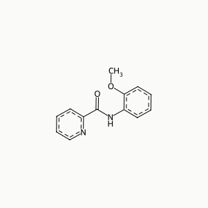 COc1ccccc1NC(=O)c1ccccn1